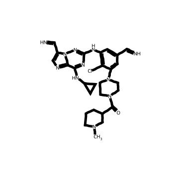 CN1CCCC(C(=O)N2CCN(c3cc(C=N)cc(Nc4nc(NC5CC5)c5ncc(C=N)n5n4)c3Cl)CC2)C1